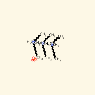 CCCCCCCCCC[N+](C)(C)CCCCCCC.CCCCCCCCCC[N+](C)(C)CCCCCCC.CCCCCCCCCC[N+](C)(C)CCCCCCC.O=P([O-])([O-])[O-]